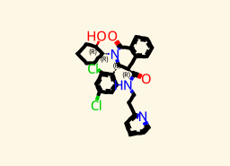 O=C(NCCc1ccccn1)[C@@H]1c2ccccc2C(=O)N([C@@H]2CCCC[C@H]2O)[C@H]1c1ccc(Cl)cc1Cl